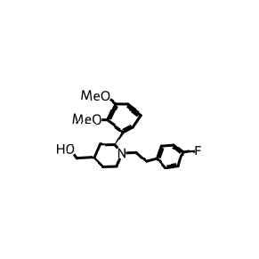 COc1cccc([C@@H]2CC(CO)CCN2CCc2ccc(F)cc2)c1OC